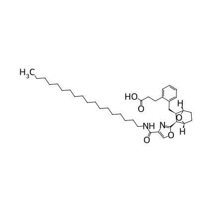 CCCCCCCCCCCCCCCCCCNC(=O)c1coc([C@H]2[C@@H](Cc3ccccc3CCC(=O)O)[C@@H]3CC[C@H]2O3)n1